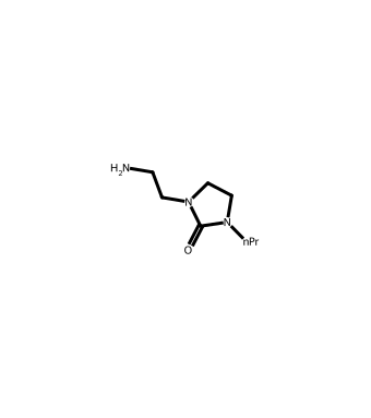 CCCN1CCN(CCN)C1=O